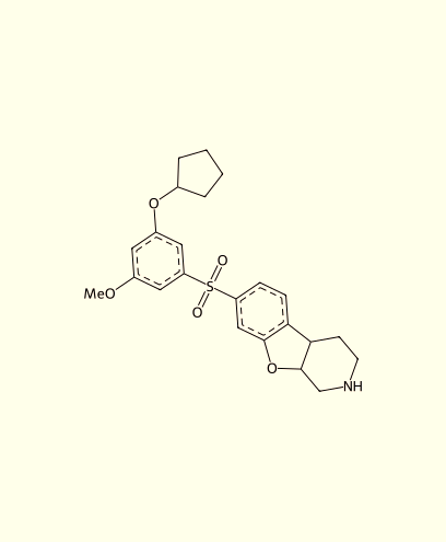 COc1cc(OC2CCCC2)cc(S(=O)(=O)c2ccc3c(c2)OC2CNCCC32)c1